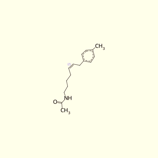 CC(=O)NCCCC/C=C\Cc1ccc(C)cc1